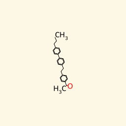 CCCCc1ccc(-c2ccc(CCc3ccc(C(C)=O)cc3)cc2)cc1